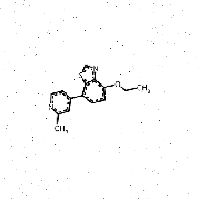 CCOc1ccc(-c2ccnc(C)c2)c2scnc12